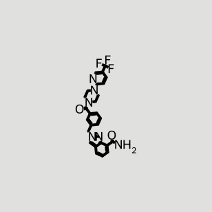 NC(=O)c1cccc2cn(Cc3cccc(C(=O)N4CCN(c5ccc(C(F)(F)F)cn5)CC4)c3)nc12